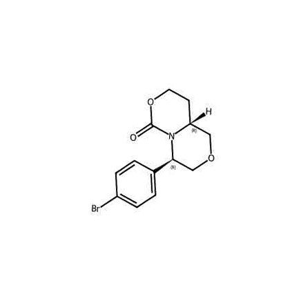 O=C1OCC[C@@H]2COC[C@@H](c3ccc(Br)cc3)N12